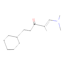 CN(C)/C=C(\C#N)C(=O)CCC1CCCCC1